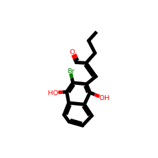 CCC/C(C=O)=C/c1c(Br)c(O)c2ccccc2c1O